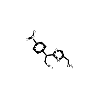 CCc1csc(C(CN)c2ccc([N+](=O)[O-])cc2)n1